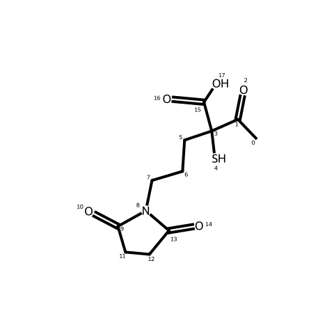 CC(=O)C(S)(CCCN1C(=O)CCC1=O)C(=O)O